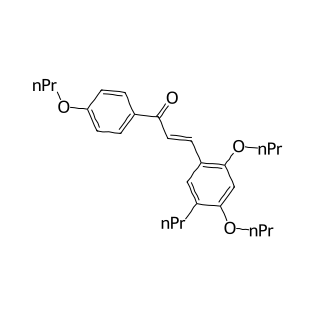 CCCOc1ccc(C(=O)C=Cc2cc(CCC)c(OCCC)cc2OCCC)cc1